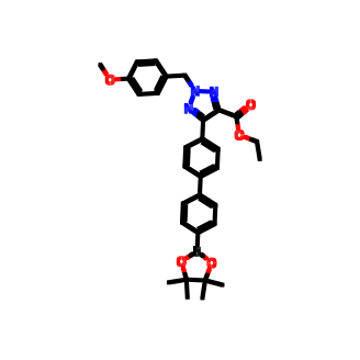 CCOC(=O)c1nn(Cc2ccc(OC)cc2)nc1-c1ccc(-c2ccc(B3OC(C)(C)C(C)(C)O3)cc2)cc1